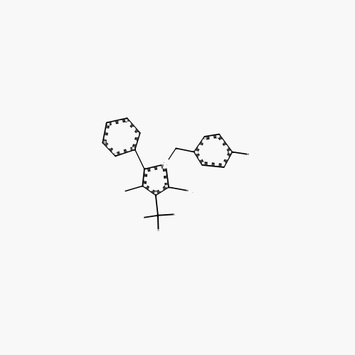 Fc1ccc(Cn2c(Br)c(C(F)(F)F)c(Br)c2-c2ccccc2)cc1